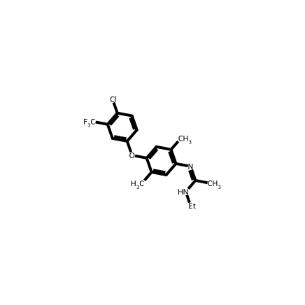 CCNC(C)=Nc1cc(C)c(Oc2ccc(Cl)c(C(F)(F)F)c2)cc1C